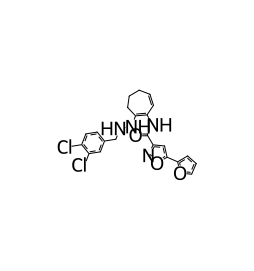 O=C(NC1=C(NNCc2ccc(Cl)c(Cl)c2)CCCC=C1)c1cc(-c2ccco2)on1